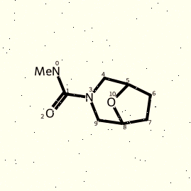 CNC(=O)N1CC2CCC(C1)O2